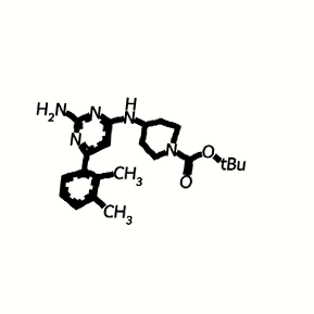 Cc1cccc(-c2cc(NC3CCN(C(=O)OC(C)(C)C)CC3)nc(N)n2)c1C